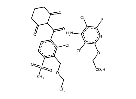 CS(=O)(=O)c1ccc(C(=O)C2C(=O)CCCC2=O)c(Cl)c1COCC(F)(F)F.Nc1c(Cl)c(F)nc(OCC(=O)O)c1Cl